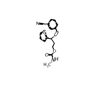 CNC(=O)OCCC(Oc1cccc(C#N)c1)c1cccs1